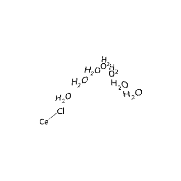 O.O.O.O.O.O.O.[Cl][Ce]